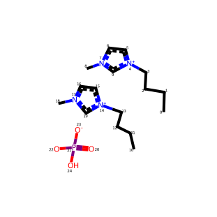 CCCC[n+]1ccn(C)c1.CCCC[n+]1ccn(C)c1.O=P([O-])([O-])O